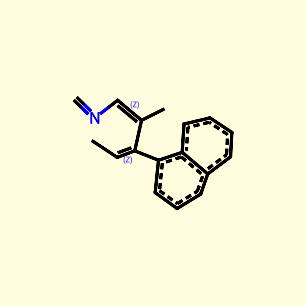 C=N/C=C(C)\C(=C/C)c1cccc2ccccc12